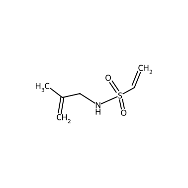 C=CS(=O)(=O)NCC(=C)C